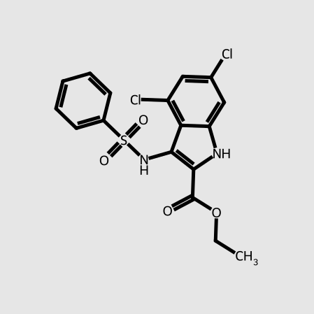 CCOC(=O)c1[nH]c2cc(Cl)cc(Cl)c2c1NS(=O)(=O)c1ccccc1